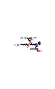 CCCCCCCCCCCCCCCC(=O)OCC(CCCCN(CCN(CCO)CCCC)C1CCC1)COC(=O)CC(CCCCCC)CCCCCCCC